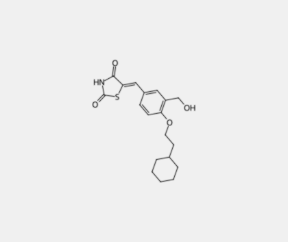 O=C1NC(=O)/C(=C/c2ccc(OCCC3CCCCC3)c(CO)c2)S1